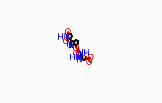 COC(=O)c1cc2n[nH]c(NC(=O)COc3cccc4c(C5CCC(=O)NC5=O)nn(C)c34)c2s1